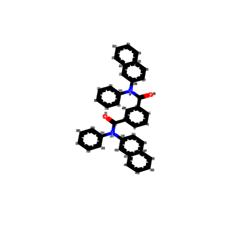 O=C(c1cccc(C(=O)N(c2ccccc2)c2ccc3ccccc3c2)c1)N(c1ccccc1)c1ccc2ccccc2c1